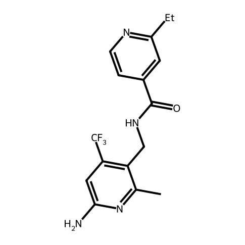 CCc1cc(C(=O)NCc2c(C(F)(F)F)cc(N)nc2C)ccn1